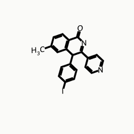 Cc1ccc2c(c1)C(c1ccc(I)cc1)C(c1ccncc1)=NC2=O